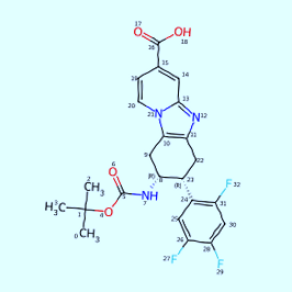 CC(C)(C)OC(=O)N[C@@H]1Cc2c(nc3cc(C(=O)O)ccn23)C[C@@H]1c1cc(F)c(F)cc1F